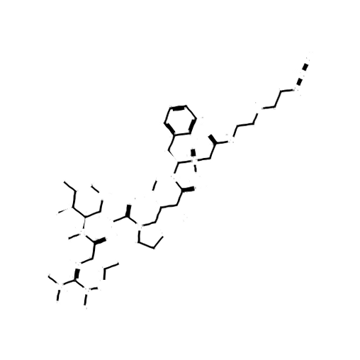 CC[C@H](C)[C@@H]([C@@H](CC(=O)N1CCC[C@H]1[C@H](OC)[C@@H](C)C(=O)N[C@@H](Cc1ccccc1)P(=O)(O)CC(=O)NCCOCCN=[N+]=[N-])OC)N(C)C(=O)[C@@H](N=C(N(C)C)N(C)C)C(C)C